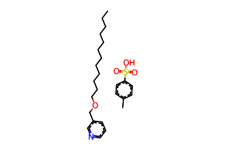 CCCCCCCCCCCCOCc1cccnc1.Cc1ccc(S(=O)(=O)O)cc1